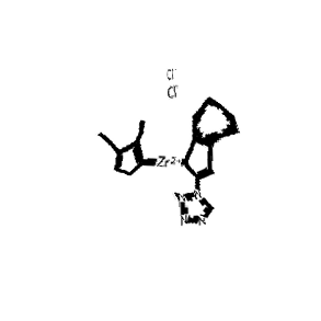 CC1=CC[C]([Zr+2][CH]2C(n3cnnn3)=Cc3ccccc32)=C1C.[Cl-].[Cl-]